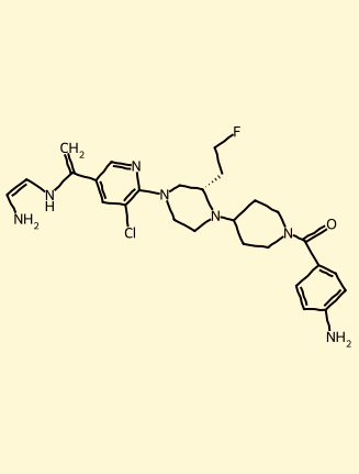 C=C(N/C=C\N)c1cnc(N2CCN(C3CCN(C(=O)c4ccc(N)cc4)CC3)[C@@H](CCF)C2)c(Cl)c1